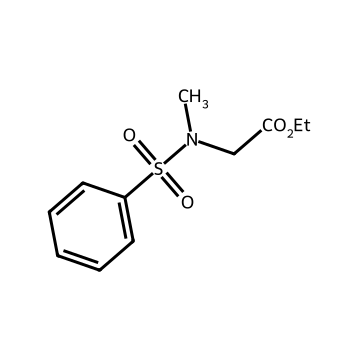 CCOC(=O)CN(C)S(=O)(=O)c1ccccc1